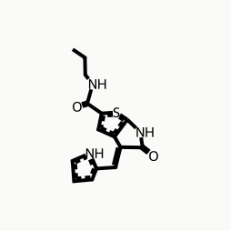 CCCNC(=O)c1cc2c(s1)NC(=O)C2=Cc1ccc[nH]1